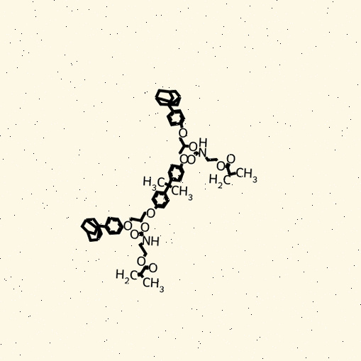 C=C(C)C(=O)OCCNC(=O)OC(COc1ccc(C23CC4CC(CC(C4)C2)C3)cc1)COc1ccc(C(C)(C)c2ccc(OCC(COc3ccc(C45CC6CC(CC(C6)C4)C5)cc3)OC(=O)NCCOC(=O)C(=C)C)cc2)cc1